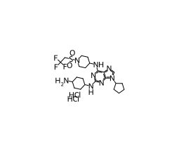 Cl.Cl.NC1CCC(Nc2nc(NC3CCN(S(=O)(=O)CC(F)(F)F)CC3)c3ncn(C4CCCC4)c3n2)CC1